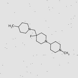 CC1CCN(CC2(F)CCN(C3CCN(C)CC3)CC2)CC1